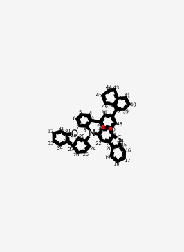 c1cc(-c2ccccc2N(c2ccc3sc4ccccc4c3c2)c2cccc3c2oc2ccccc23)cc(-c2cccc3ccccc23)c1